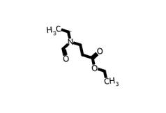 C[CH]N(C=O)CCC(=O)OCC